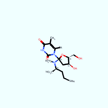 [3H]c1c(C)c(=O)[nH]c(=O)n1[C@@]1(N([14CH3])[C@@H](CCSC)C(=O)O)C[C@H](O)[C@@H](CO)O1